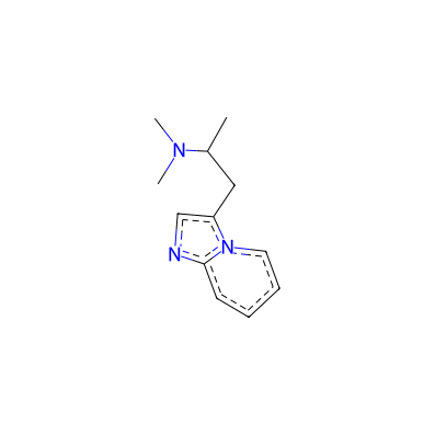 CC(Cc1cnc2ccccn12)N(C)C